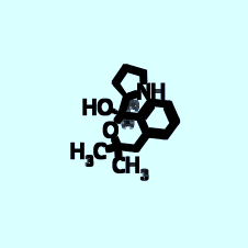 CC1(C)Cc2ccccc2[C@](O)([C@H]2CCCN2)O1